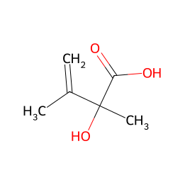 C=C(C)C(C)(O)C(=O)O